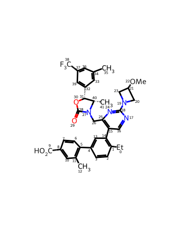 CCc1ccc(-c2ccc(C(=O)O)cc2C)cc1-c1cnc(N2CC(OC)C2)nc1CN1C(=O)O[C@H](c2cc(C)cc(C(F)(F)F)c2)[C@@H]1C